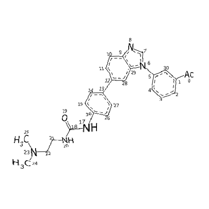 CC(=O)c1cccc(-n2cnc3ccc(-c4ccc(NC(=O)NCCN(C)C)cc4)cc32)c1